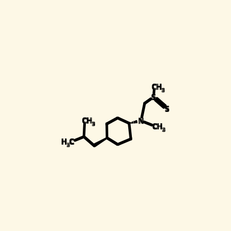 CC(C)C[C@H]1CC[C@H](N(C)CS(C)=S)CC1